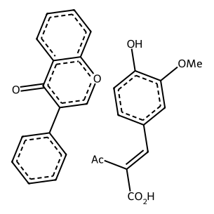 COc1cc(/C=C(\C(C)=O)C(=O)O)ccc1O.O=c1c(-c2ccccc2)coc2ccccc12